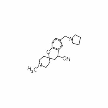 CN1CCC2(CC1)CC(O)c1cc(CN3CCCC3)ccc1O2